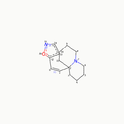 C(=C/C12CCCCN1CCCC2)/c1ccno1